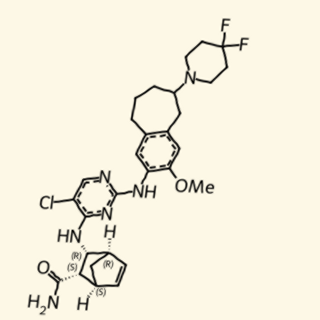 COc1cc2c(cc1Nc1ncc(Cl)c(N[C@H]3[C@@H](C(N)=O)[C@@H]4C=C[C@H]3C4)n1)CCCC(N1CCC(F)(F)CC1)C2